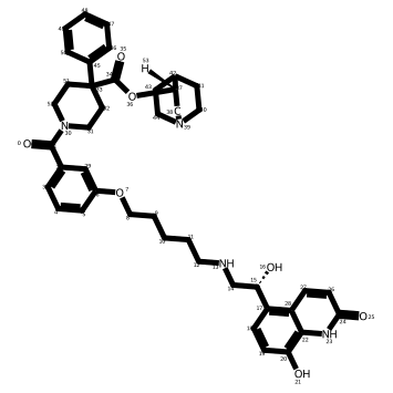 O=C(c1cccc(OCCCCCNC[C@H](O)c2ccc(O)c3[nH]c(=O)ccc23)c1)N1CCC(C(=O)O[C@H]2CN3CCC2CC3)(c2ccccc2)CC1